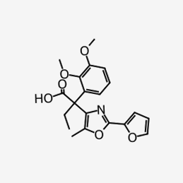 CCC(C(=O)O)(c1cccc(OC)c1OC)c1nc(-c2ccco2)oc1C